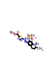 CCC(C)OC(=O)c1nnc(N=Nc2cc3c(cc2NS(=O)(=O)C(F)(F)F)N(CC)C(C)CC3)s1